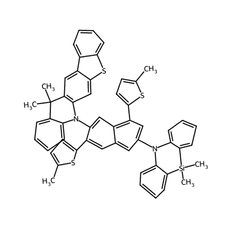 Cc1ccc(-c2cc3cc(N4c5ccccc5[Si](C)(C)c5ccccc54)cc(-c4ccc(C)s4)c3cc2N2c3ccccc3C(C)(C)c3cc4c(cc32)sc2ccccc24)s1